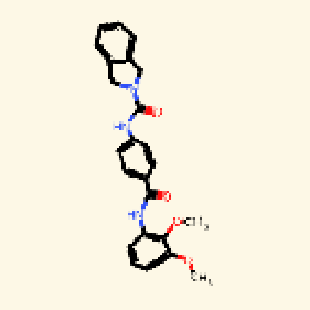 COc1cccc(NC(=O)c2ccc(NC(=O)N3Cc4ccccc4C3)cc2)c1OC